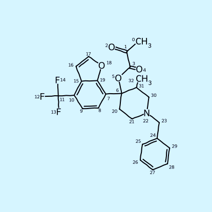 CC(=O)C(=O)OC1(c2ccc(C(F)(F)F)c3ccoc23)CCN(Cc2ccccc2)CC1C